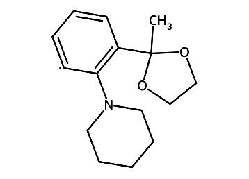 CC1(c2ccc[c]c2N2CCCCC2)OCCO1